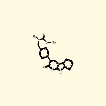 CCCCN(Cc1ccc(-c2cn3c(nc2=O)[nH]c2ccccc23)cc1)C(=O)OC(C)(C)C